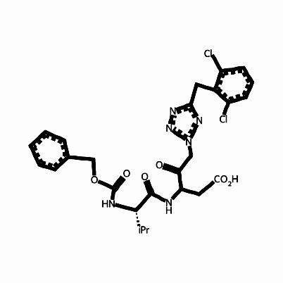 CC(C)[C@H](NC(=O)OCc1ccccc1)C(=O)NC(CC(=O)O)C(=O)Cn1nnc(Cc2c(Cl)cccc2Cl)n1